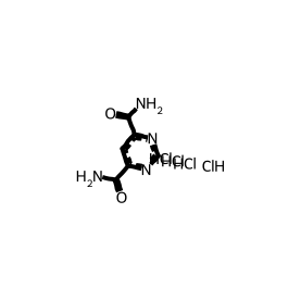 Cl.Cl.Cl.Cl.NC(=O)c1cc(C(N)=O)ncn1